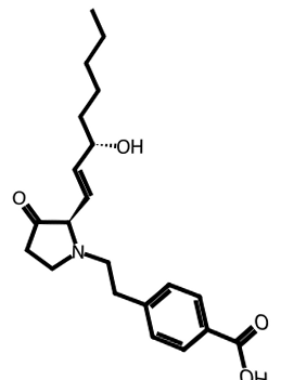 CCCCC[C@H](O)/C=C/[C@@H]1C(=O)CCN1CCc1ccc(C(=O)O)cc1